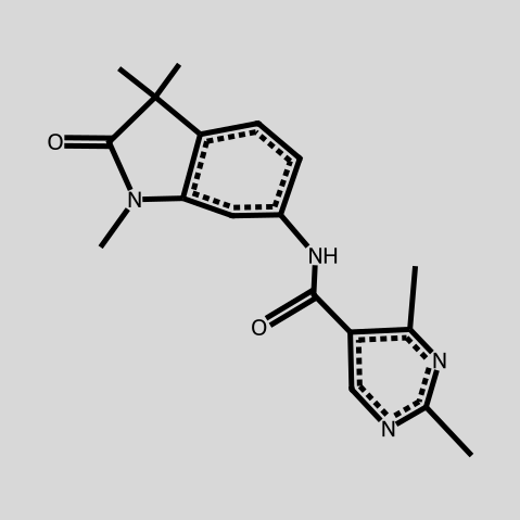 Cc1ncc(C(=O)Nc2ccc3c(c2)N(C)C(=O)C3(C)C)c(C)n1